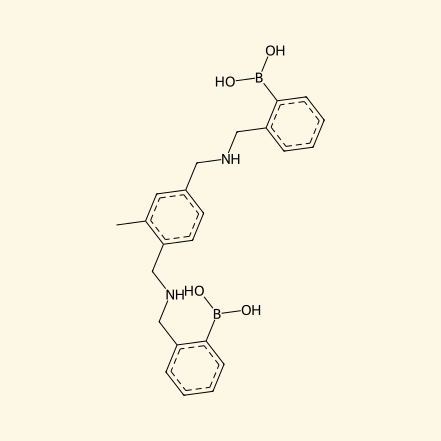 Cc1cc(CNCc2ccccc2B(O)O)ccc1CNCc1ccccc1B(O)O